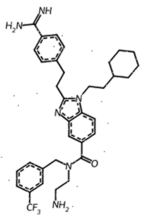 N=C(N)c1ccc(CCc2nc3cc(C(=O)N(CCN)Cc4cccc(C(F)(F)F)c4)ccc3n2CCC2CCCCC2)cc1